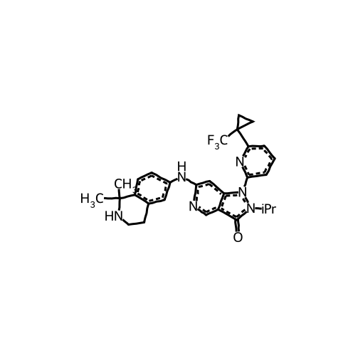 CC(C)n1c(=O)c2cnc(Nc3ccc4c(c3)CCNC4(C)C)cc2n1-c1cccc(C2(C(F)(F)F)CC2)n1